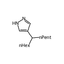 CCCCCCC(CCCCC)c1cn[nH]c1